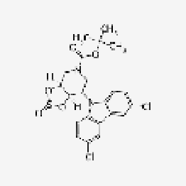 CC(C)(C)OC(=O)N1CC(n2c3ccc(Cl)cc3c3cc(Cl)ccc32)[C@H]2OS(=O)O[C@H]2C1